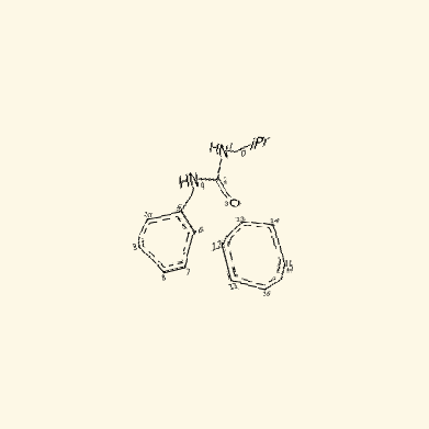 CC(C)NC(=O)Nc1ccccc1.c1ccccc1